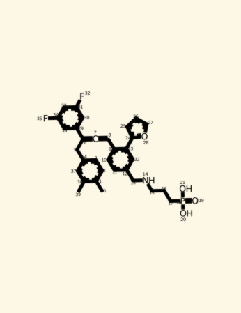 Cc1ccc(CC(=C=Cc2ccc(CNCCCP(=O)(O)O)cc2-c2ccco2)c2cc(F)cc(F)c2)cc1C